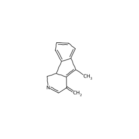 C=C1C=NCC2C1=C(C)c1ccccc12